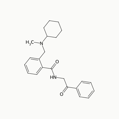 CN(Cc1ccccc1C(=O)NCC(=O)c1ccccc1)C1CCCCC1